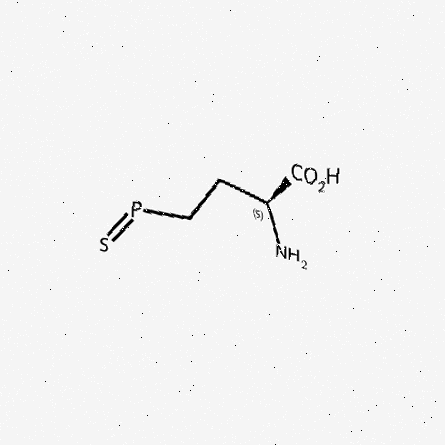 N[C@@H](CCP=S)C(=O)O